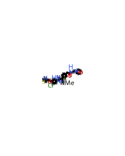 CNc1sc2cc(CC(=O)NCCN3CCOCC3)ccc2c1C(=N)Nc1ccc(OCc2cscn2)c(Cl)c1